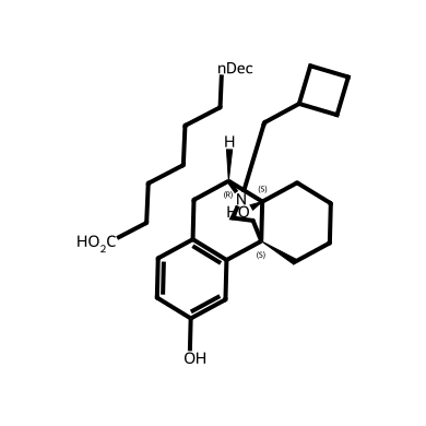 CCCCCCCCCCCCCCCC(=O)O.Oc1ccc2c(c1)[C@@]13CCCC[C@@]1(O)[C@@H](C2)N(CC1CCC1)CC3